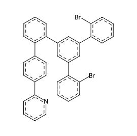 Brc1ccccc1-c1cc(-c2ccccc2Br)cc(-c2ccccc2-c2ccc(-c3ccccn3)cc2)c1